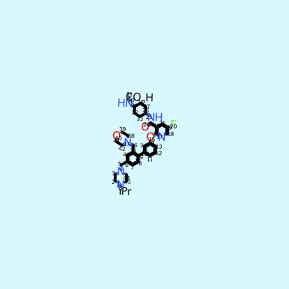 CC(C)N1CCN(Cc2ccc(-c3cccc(Oc4ncc(F)cc4C(=O)NC4CCC(NC(=O)O)CC4)c3)c(CN3CCOCC3)c2)CC1